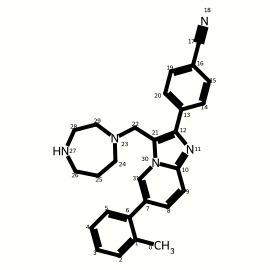 Cc1ccccc1-c1ccc2nc(-c3ccc(C#N)cc3)c(CN3CCCNCC3)n2c1